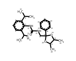 CC(C)c1cccc(C(C)C)c1NC(=O)NCC1(c2ccccc2)OC(C)C(C)O1